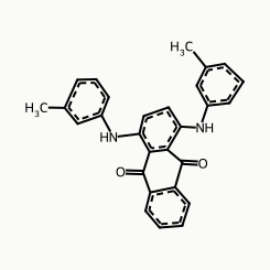 Cc1cccc(Nc2ccc(Nc3cccc(C)c3)c3c2C(=O)c2ccccc2C3=O)c1